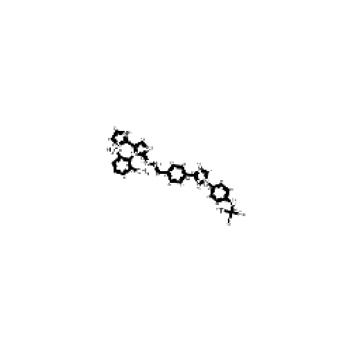 Cc1cccc(C)c1-n1c(-c2nccs2)cs/c1=N\N=Cc1ccc(-c2ncn(-c3ccc(OC(F)(F)F)cc3)n2)cc1